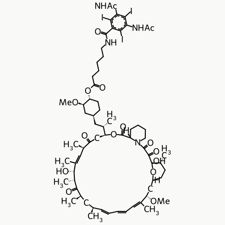 CO[C@H]1C[C@@H]2CC[C@@H](C)[C@@](O)(O2)C(=O)C(=O)N2CCCC[C@H]2C(=O)O[C@H]([C@@H](C)C[C@@H]2CC[C@@H](OC(=O)CCCCCNC(=O)c3c(I)c(NC(C)=O)c(I)c(NC(C)=O)c3I)[C@H](OC)C2)CC(=O)[C@H](C)/C=C(\C)[C@@H](O)[C@@H](C)C(=O)[C@H](C)C[C@H](C)/C=C/C=C/C=C/1C